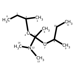 CCC(C)OC(C)(OC(C)CC)N(C)C